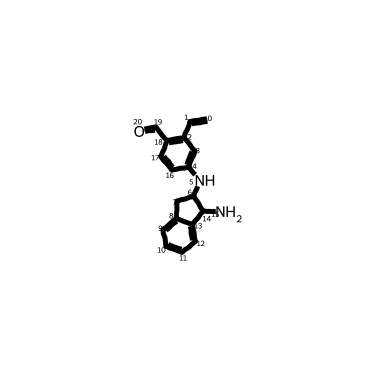 C=Cc1cc(NC2Cc3ccccc3C2N)ccc1C=O